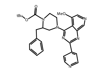 COc1cncc2nc(-c3ccncc3)nc(N3CCN(C(=O)OC(C)(C)C)C(Cc4ccccc4)C3)c12